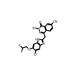 CCn1nc(Cc2nc3cc(Cl)c(OCC(F)F)cc3[nH]2)c2ccc(C#N)cc2c1=O